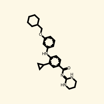 O=C(N=C1NCCCN1)c1ccc(Nc2cccc(OCC3CCCCC3)c2)c(C2CC2)c1